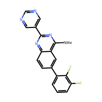 CNc1nc(-c2cncnc2)nc2ccc(-c3cccc(F)c3F)cc12